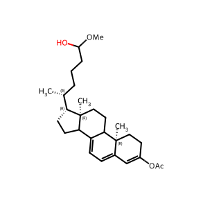 COC(O)CCC[C@@H](C)[C@H]1CCC2C3=CC=C4C=C(OC(C)=O)CC[C@]4(C)C3CC[C@@]21C